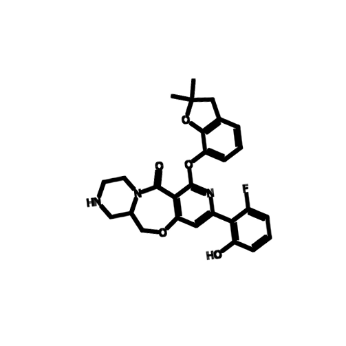 CC1(C)Cc2cccc(Oc3nc(-c4c(O)cccc4F)cc4c3C(=O)N3CCNCC3CO4)c2O1